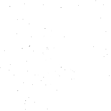 OCC1CCN(c2cc(Cl)ncc2C#Cc2cnn(C3CC3(F)F)c2)CC1